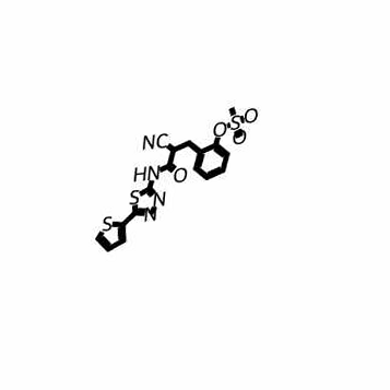 CS(=O)(=O)Oc1ccccc1CC(C#N)C(=O)Nc1nnc(-c2cccs2)s1